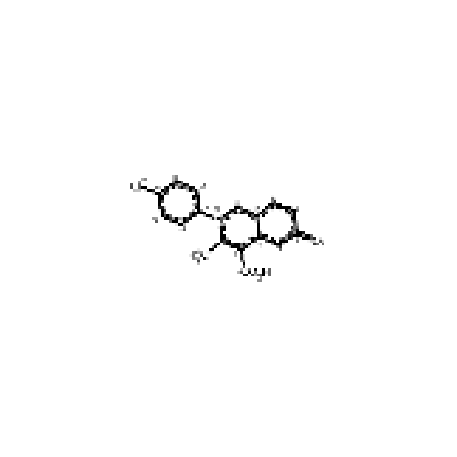 Cc1c(C(=O)O)c2cc(=O)ccc-2cn1-c1ccc(Cl)cc1